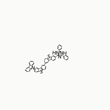 C1=C(c2ccc3sc4ccc(-n5c6ccccc6c6ccccc65)cc4c3c2)CCc2sc3cc(C4=NC(c5ccccc5)NC(c5ccccc5)N4)ccc3c21